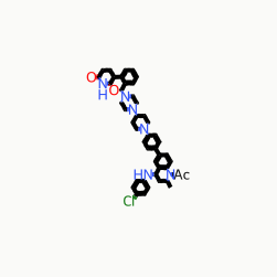 CC(=O)N1c2ccc(-c3ccc(N4CCC(N5CCN(Cc6ccccc6C6CCC(=O)NC6=O)CC5)CC4)cc3)cc2C(Nc2ccc(Cl)cc2)CC1C